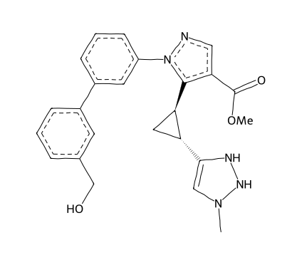 COC(=O)c1cnn(-c2cccc(-c3cccc(CO)c3)c2)c1[C@@H]1C[C@H]1C1=CN(C)NN1